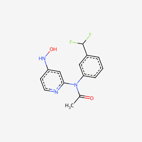 CC(=O)N(c1cccc(C(F)F)c1)c1cc(NO)ccn1